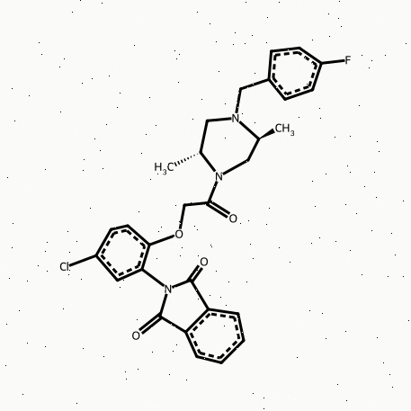 C[C@@H]1CN(Cc2ccc(F)cc2)[C@@H](C)CN1C(=O)COc1ccc(Cl)cc1N1C(=O)c2ccccc2C1=O